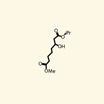 COC(=O)CCCCC(O)CC(=O)OC(C)C